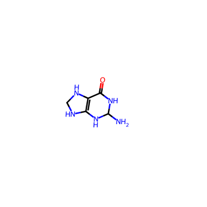 NC1NC(=O)C2=C(NCN2)N1